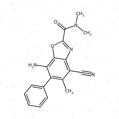 Cc1c(-c2ccccc2)c(N)c2oc(C(=O)N(C)C)nc2c1C#N